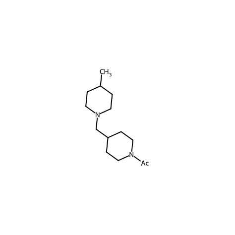 CC(=O)N1CCC(CN2CCC(C)CC2)CC1